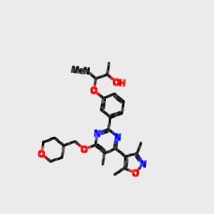 CNC(Oc1cccc(-c2nc(OCC3CCOCC3)c(C)c(-c3c(C)noc3C)n2)c1)C(C)O